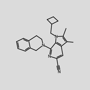 Cc1c(C)n(CC2CCC2)c2c(N3CCc4ccccc4C3)nc(C#N)cc12